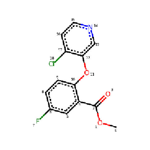 COC(=O)c1cc(F)ccc1Oc1cnccc1Cl